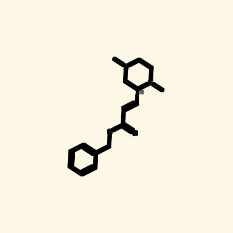 CN1CCN(C)[C@@H](C=CC(=O)OCc2ccccc2)C1